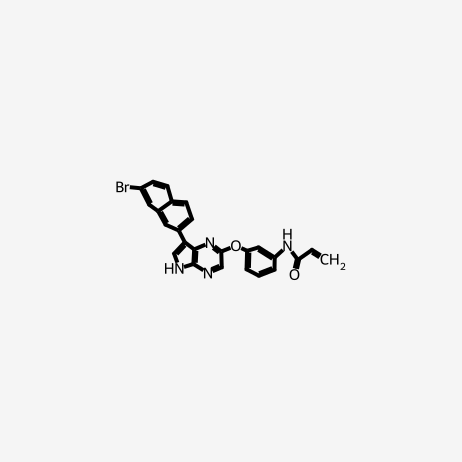 C=CC(=O)Nc1cccc(Oc2cnc3[nH]cc(-c4ccc5ccc(Br)cc5c4)c3n2)c1